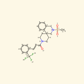 CS(=O)(=O)N1Cc2ccccc2C2(CCN(C(=O)C=Cc3ccccc3C(F)(F)F)CC2)C1